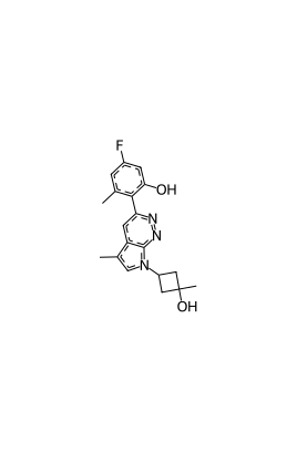 Cc1cc(F)cc(O)c1-c1cc2c(C)cn(C3CC(C)(O)C3)c2nn1